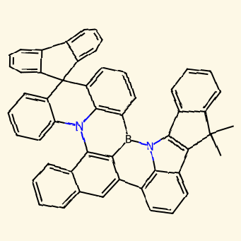 CC1(C)c2ccccc2-c2c1c1cccc3c1n2B1c2cccc4c2N(c2ccccc2C42c4ccccc4-c4ccccc42)c2c1c-3cc1ccccc21